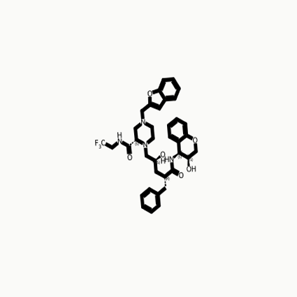 O=C(N[C@H]1c2ccccc2OC[C@H]1O)[C@H](Cc1ccccc1)C[C@H](O)CN1CCN(Cc2cc3ccccc3o2)C[C@H]1C(=O)NCC(F)(F)F